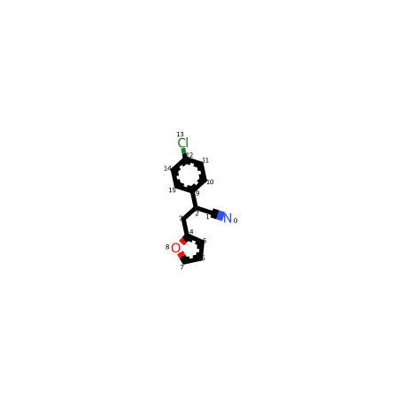 N#CC(Cc1ccco1)c1ccc(Cl)cc1